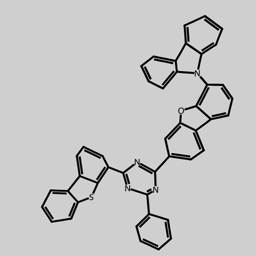 c1ccc(-c2nc(-c3ccc4c(c3)oc3c(-n5c6ccccc6c6ccccc65)cccc34)nc(-c3cccc4c3sc3ccccc34)n2)cc1